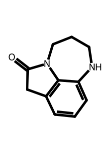 O=C1Cc2cccc3c2N1CCCN3